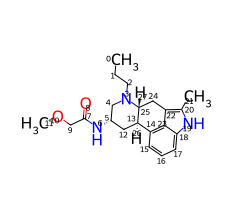 CCCN1C[C@@H](NC(=O)COC)C[C@@H]2c3cccc4[nH]c(C)c(c34)C[C@H]21